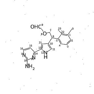 Cc1cccc(C(COC=O)c2c[nH]c(-c3ccnc(N)n3)c2)c1C